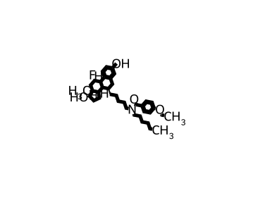 CCCCCCN(CCCCC[C@@H]1Cc2cc(O)ccc2[C@@H]2[C@@H]1[C@@H]1CC[C@H](O)[C@@]1(C)C[C@@H]2F)C(=O)c1ccc(OCC)cc1